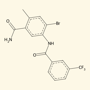 Cc1cc(Br)c(NC(=O)c2cccc(C(F)(F)F)c2)cc1C(N)=O